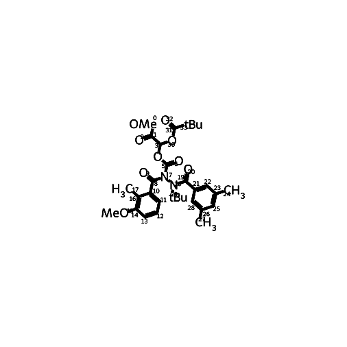 COC(=O)C(OC(=O)N(C(=O)c1cccc(OC)c1C)N(C(=O)c1cc(C)cc(C)c1)C(C)(C)C)OC(=O)C(C)(C)C